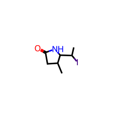 CC(I)C1NC(=O)CC1C